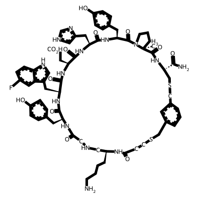 C[C@@]12CCCN1C(=O)[C@H](Cc1ccc(O)cc1)NC(=O)[C@H](Cc1c[nH]cn1)NC(=O)[C@H](CC(=O)O)NC(=O)[C@H](Cc1c[nH]c3ccc(F)cc13)NC(=O)[C@H](Cc1ccc(O)cc1)NC(=O)CNC[C@H](CCCCN)NC(=O)CCSCc1cccc(c1)CSC[C@@H](C(N)=O)NC2=O